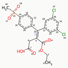 CCOC(=O)/C(CC(=O)O)=C(/c1ccc(S(C)(=O)=O)cc1)c1cc(Cl)cc(Cl)c1